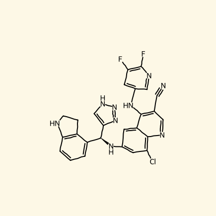 N#Cc1cnc2c(Cl)cc(N[C@H](c3c[nH]nn3)c3cccc4c3CCN4)cc2c1Nc1cnc(F)c(F)c1